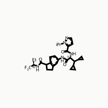 CC[C@@H](NC(=O)C1CCc2cc(NC(=O)[C@@H](NC(=O)c3ccnn3C(C)C)C(C3CC3)C3CC3)ccc21)C(F)(F)F